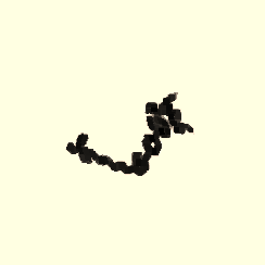 C=CC(=O)OCCCCCCc1ccc(-c2ccc(C3O[C@@H](C(=O)OCC)[C@H](C(=O)OCC)O3)cc2)s1